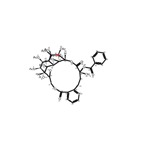 CC(=O)OC[C@]12[C@H](OC(C)=O)[C@H](OC(C)=O)[C@@H]3[C@@H](OC(C)=O)[C@@]14O[C@@]3(C)COC(=O)c1cccnc1CC[C@@](C)(OC(=O)c1ccccc1)C(=O)O[C@@H]([C@H](OC(C)=O)[C@@H]2OC(C)=O)[C@]4(C)O